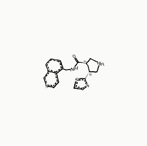 O=C(Nc1cccc2cnccc12)[C@H]1CNC[C@@H]1c1nccs1